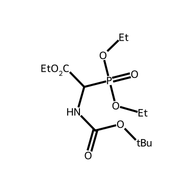 CCOC(=O)C(NC(=O)OC(C)(C)C)P(=O)(OCC)OCC